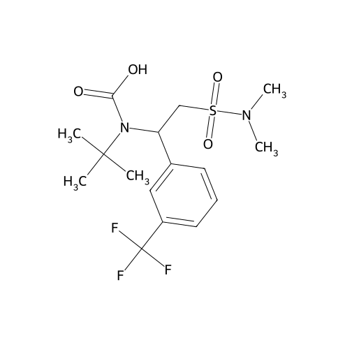 CN(C)S(=O)(=O)CC(c1cccc(C(F)(F)F)c1)N(C(=O)O)C(C)(C)C